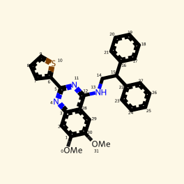 COc1cc2nc(-c3cccs3)nc(NCC(c3ccccc3)c3ccccc3)c2cc1OC